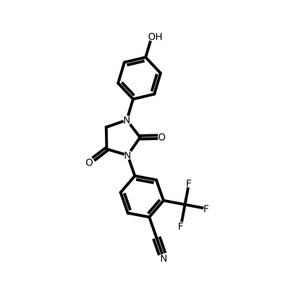 N#Cc1ccc(N2C(=O)CN(c3ccc(O)cc3)C2=O)cc1C(F)(F)F